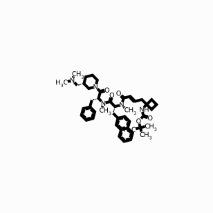 CN(C)C[C@@H]1CCCN(C(=O)[C@@H](Cc2ccccc2)N(C)C(=O)[C@@H](Cc2ccc3ccccc3c2)N(C)C(=O)/C=C/CC2(NC(=O)OC(C)(C)C)CCC2)C1